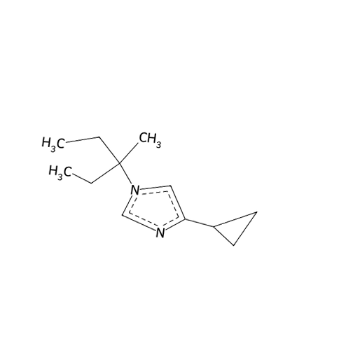 CCC(C)(CC)n1cnc(C2CC2)c1